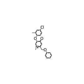 Cc1cc(Cl)ccc1Oc1cn(C)c(COc2ccccc2)cc1=O